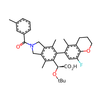 Cc1cccc(C(=O)N2Cc3c(C)c(-c4cc(F)c5c(c4C)CCCO5)c([C@H](OC(C)(C)C)C(=O)O)c(C)c3C2)c1